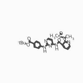 CN(c1ncccc1CNc1ccnc(Nc2ccc(C(=O)OC(C)(C)C)cc2)n1)S(C)(=O)=O